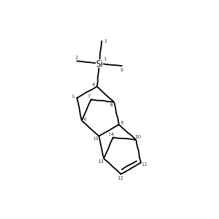 C[Si](C)(C)C1CC2CC1C1C3C=CC(C3)C21